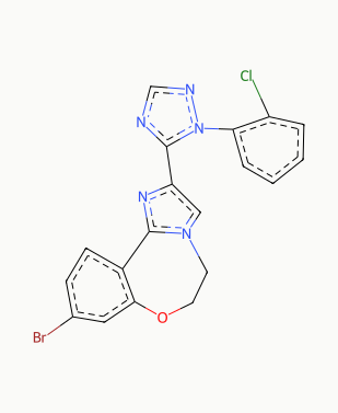 Clc1ccccc1-n1ncnc1-c1cn2c(n1)-c1ccc(Br)cc1OCC2